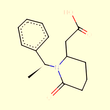 C[C@@H](c1ccccc1)N1C(=O)CCCC1CC(=O)O